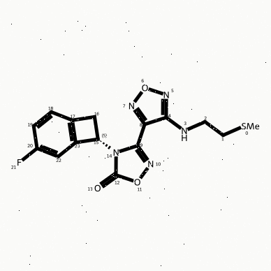 CSCCNc1nonc1-c1noc(=O)n1[C@H]1Cc2ccc(F)cc21